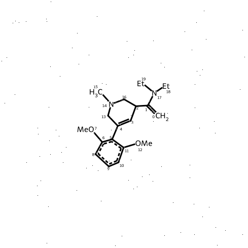 C=C(C1C=C(c2c(OC)cccc2OC)CN(C)C1)N(CC)CC